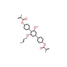 C=C(C)C(=O)Oc1ccc(-c2cc(OC)c(-c3ccc(OC(=O)C(=C)C)cc3)c(OC/C=C/C)c2)cc1